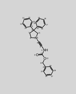 O=C(NC#CN1CCC(c2ccccc2)(c2ccccc2)C1)OCc1ccccc1